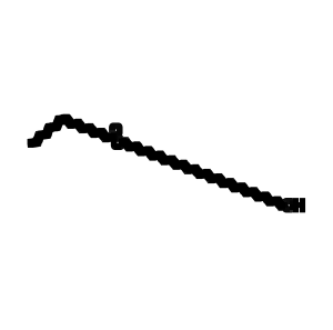 CCCCCC/C=C\CCCCCCCC(=O)OCCCCCCCCCCCCCCCCCCCCCCCCCCCCO